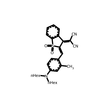 CCCCCCN(CCCCCC)c1ccc(C=C2C(=C(C#N)C#N)c3ccccc3S2(=O)=O)c(C)c1